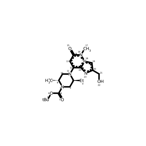 CC[C@H]1CN(C(=O)OC(C)(C)C)[C@H](C)CN1c1cc(=O)n(C)n2cc(CO)nc12